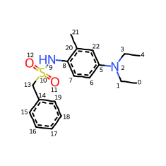 CCN(CC)c1ccc(NS(=O)(=O)Cc2ccccc2)c(C)c1